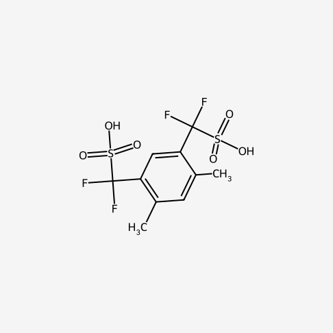 Cc1cc(C)c(C(F)(F)S(=O)(=O)O)cc1C(F)(F)S(=O)(=O)O